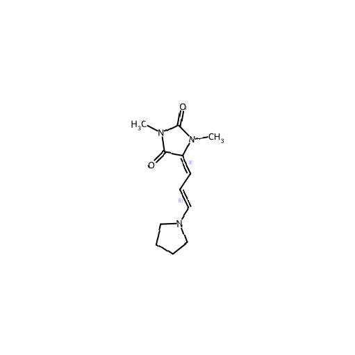 CN1C(=O)/C(=C\C=C\N2CCCC2)N(C)C1=O